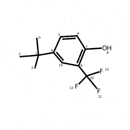 CC(C)(C)c1ccc(O)c(C(F)(F)F)c1